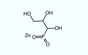 O=P(=O)C(O)C(O)CO.[Zn]